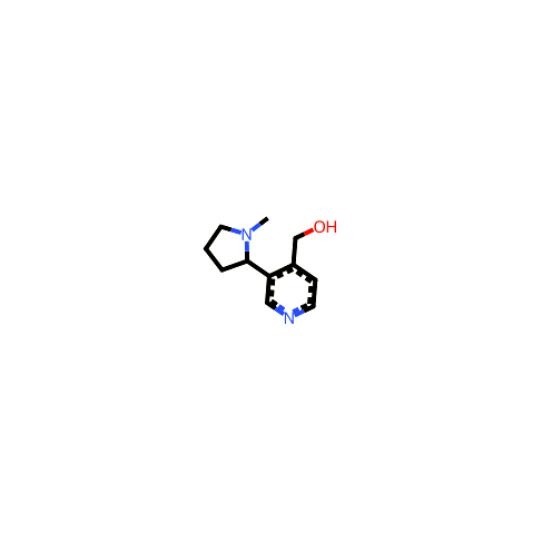 CN1CCCC1c1cnccc1CO